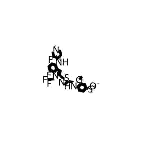 COc1cc([S+](C)[O-])ccc1NCc1cnc(-c2cc3c(N[C@@H]4CCN(C)C[C@@H]4F)cccc3n2CC(F)(F)F)s1